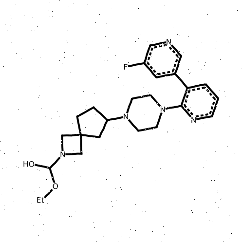 CCOC(O)N1CC2(CCC(N3CCN(c4ncccc4-c4cncc(F)c4)CC3)C2)C1